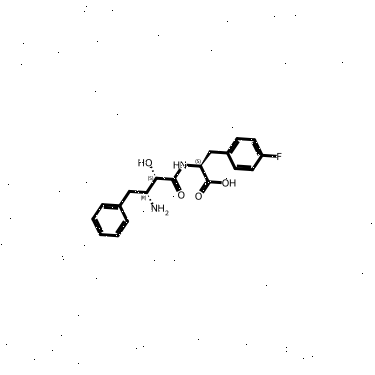 N[C@H](Cc1ccccc1)[C@H](O)C(=O)N[C@@H](Cc1ccc(F)cc1)C(=O)O